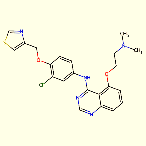 CN(C)CCOc1cccc2ncnc(Nc3ccc(OCc4cscn4)c(Cl)c3)c12